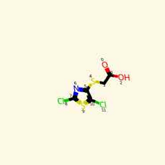 O=C(O)CSc1nc(Cl)sc1Cl